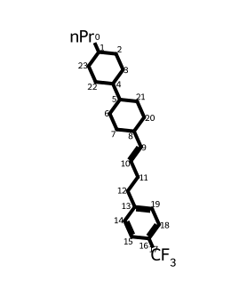 CCCC1CCC(C2CCC(C=CCCc3ccc(C(F)(F)F)cc3)CC2)CC1